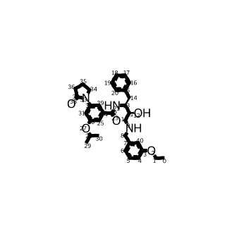 CCOc1cccc(CNC[C@H](O)[C@H](Cc2ccccc2)NC(=O)c2cc(OC(C)C)cc(N3CCCC3=O)c2)c1